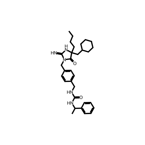 CCCCC1(CC2CCCCC2)NC(=N)N(Cc2ccc(CNC(=O)NC(C)c3ccccc3)cc2)C1=O